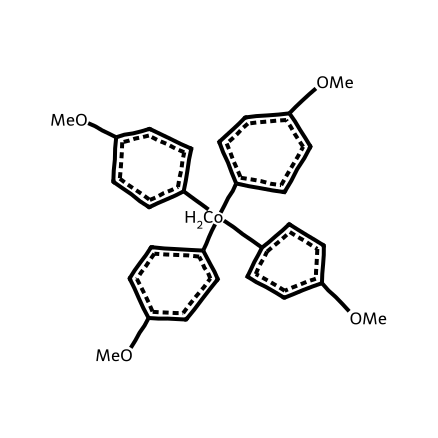 COc1cc[c]([CoH2]([c]2ccc(OC)cc2)([c]2ccc(OC)cc2)[c]2ccc(OC)cc2)cc1